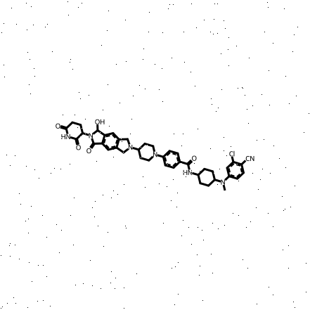 CN(c1ccc(C#N)c(Cl)c1)C1CCC(NC(=O)c2ccc(N3CCC(N4Cc5cc6c(cc5C4)C(O)N(C4CCC(=O)NC4=O)C6=O)CC3)cc2)CC1